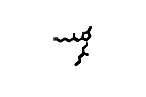 C=C/C=C(\C)CC[C@H]1CC(=O)O[C@@H]1/C=C(\C)CCCO